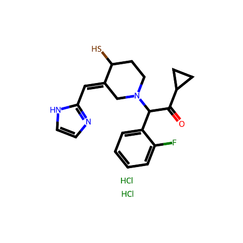 Cl.Cl.O=C(C1CC1)C(c1ccccc1F)N1CCC(S)C(=Cc2ncc[nH]2)C1